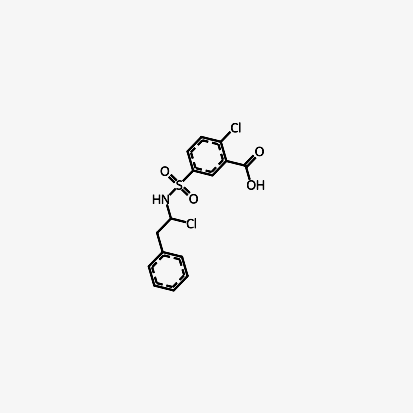 O=C(O)c1cc(S(=O)(=O)NC(Cl)Cc2ccccc2)ccc1Cl